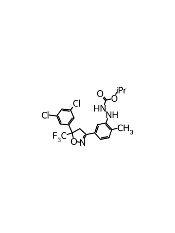 Cc1ccc(C2=NOC(c3cc(Cl)cc(Cl)c3)(C(F)(F)F)C2)cc1NNC(=O)OC(C)C